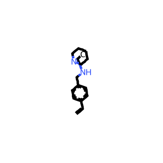 C=Cc1ccc(CNC2CC3CCN2CC3)cc1